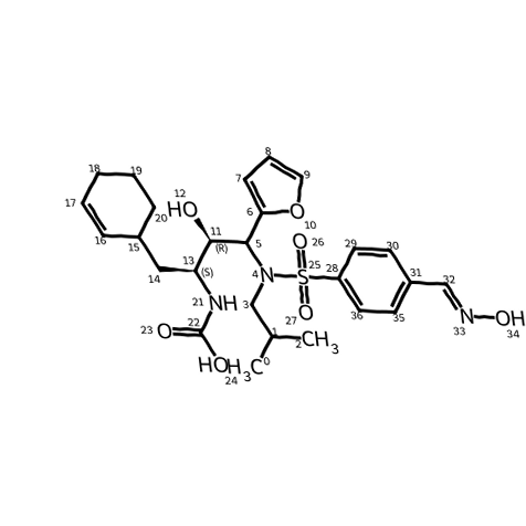 CC(C)CN(C(c1ccco1)[C@H](O)[C@H](CC1C=CCCC1)NC(=O)O)S(=O)(=O)c1ccc(C=NO)cc1